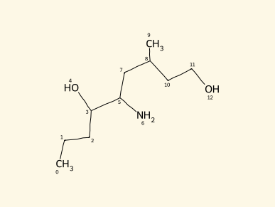 CCCC(O)C(N)CC(C)CCO